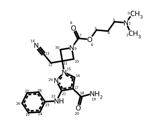 CN(C)CCCOC(=O)N1CC(CC#N)(n2cc(C(N)=O)c(Nc3ccccc3)n2)C1